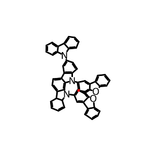 C1=CC2c3ccc4c5cc(-n6c7ccccc7c7ccccc76)ccc5n(-c5ccc6oc7ccccc7c6c5)c4c3N(c3ccc4oc5ccccc5c4c3)C2C=C1